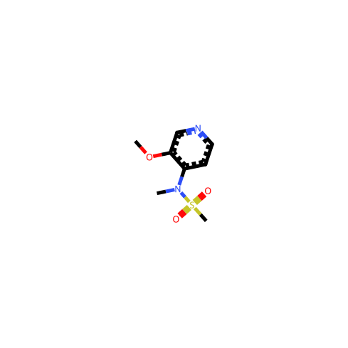 COc1cnccc1N(C)S(C)(=O)=O